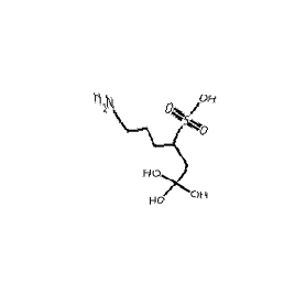 NCCCC(CC(O)(O)O)S(=O)(=O)O